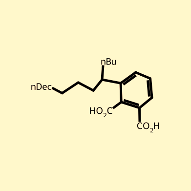 CCCCCCCCCCCCCC(CCCC)c1cccc(C(=O)O)c1C(=O)O